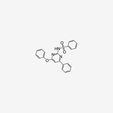 O=S(=O)(Nc1nc(Oc2ccccc2)cc(-c2ccccc2)n1)c1ccccc1